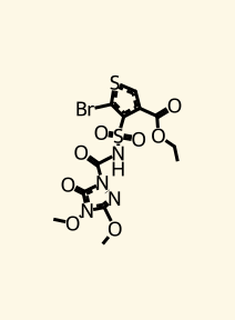 CCOC(=O)c1csc(Br)c1S(=O)(=O)NC(=O)n1nc(OC)n(OC)c1=O